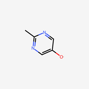 Cc1ncc([O])cn1